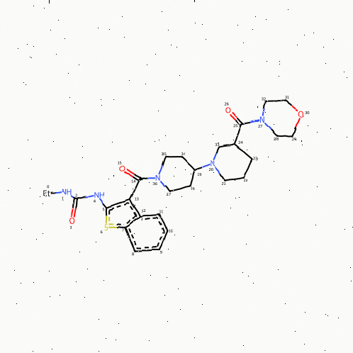 CCNC(=O)Nc1sc2ccccc2c1C(=O)N1CCC(N2CCCC(C(=O)N3CCOCC3)C2)CC1